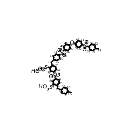 Cc1ccc(Cc2ccc(S(=O)(=O)c3ccc(Cc4ccc(S(=O)(=O)c5ccc(Oc6ccc(S(=O)(=O)c7ccc(C)cc7)cc6)cc5)cc4)c(SOOO)c3)cc2S(=O)(=O)O)cc1